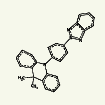 CC1(C)c2ccccc2N(c2ccc(-n3nc4ccccc4n3)cc2)c2ccccc21